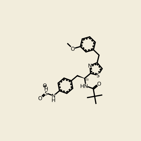 COc1cccc(Cc2csc([C@H](Cc3ccc(N[SH](=O)=O)cc3)NC(=O)C(C)(C)C)n2)c1